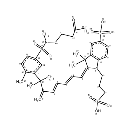 C=C(/C=C/C=C/C=C1/N(CCCS(=O)(=O)O)c2ccc(S(=O)(=O)O)cc2C1(C)C)C(C)(C)c1cc(S(=O)(=O)N(C)CCCC(C)=O)ccc1C